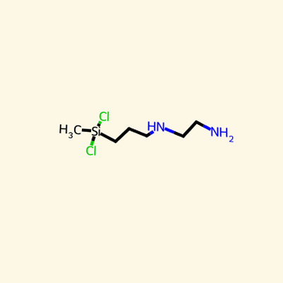 C[Si](Cl)(Cl)CCCNCCN